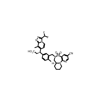 Cc1ccc([C@@H](CC(=O)O)c2ccn3c(C(F)F)nnc3c2C)cc1CN1C[C@@H]2CCCCN2c2ncc(C#N)cc2S1(=O)=O